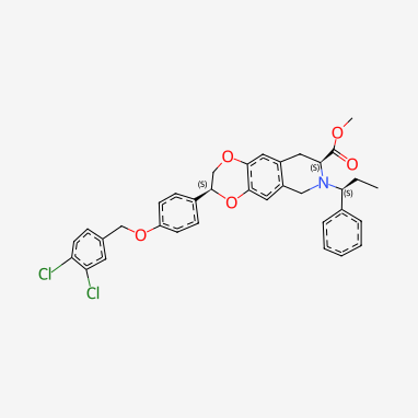 CC[C@@H](c1ccccc1)N1Cc2cc3c(cc2C[C@H]1C(=O)OC)OC[C@H](c1ccc(OCc2ccc(Cl)c(Cl)c2)cc1)O3